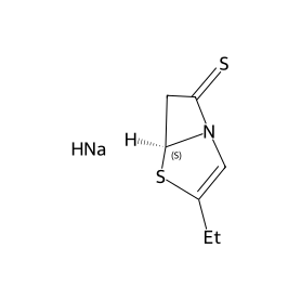 CCC1=CN2C(=S)C[C@@H]2S1.[NaH]